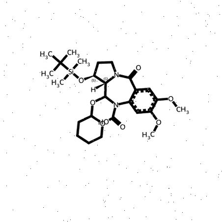 COc1cc2c(cc1OC)N(C(=O)O)C(OC1CCCCO1)[C@@H]1[C@@H](O[Si](C)(C)C(C)(C)C)CCN1C2=O